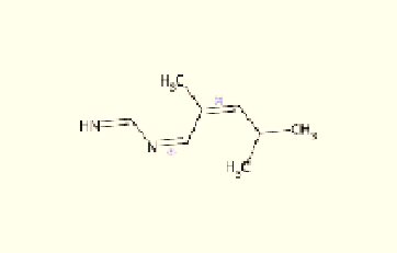 CC(/C=N\C=N)=C/C(C)C